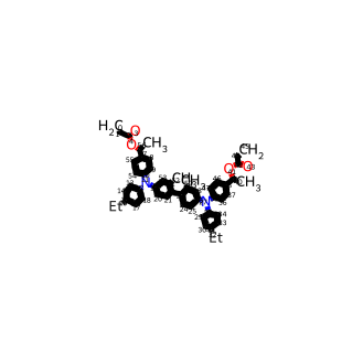 C=CC(=O)OC(C)c1ccc(N(c2ccc(CC)cc2)c2ccc(-c3ccc(N(c4ccc(CC)cc4)c4ccc(C(C)OC(=O)C=C)cc4)cc3C)c(C)c2)cc1